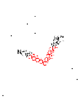 [Co+2].[Co+2].[Ni+2].[Ni+2].[O-2].[O-2].[O-2].[O-2].[O-2].[O-2].[O-2].[O-2].[O-2].[V+5].[V+5]